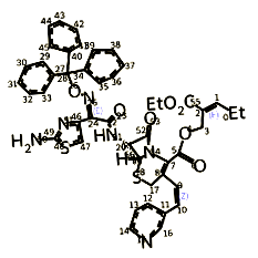 CC/C=C(\COC(=O)C1=C(/C=C\c2cccnc2)CS[C@@H]2[C@H](NC(=O)/C(=N/OC(c3ccccc3)(c3ccccc3)c3ccccc3)c3csc(N)n3)C(=O)N12)C(=O)OCC